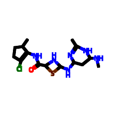 CNC1CC(NC2NC(C(=O)NC3=C(Cl)CCC3C)S2)N=C(C)N1